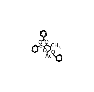 CC(=O)C1O[C@@H](Sc2ccccc2)C(OC(=O)c2ccccc2)[C@@H](C)[C@H]1OCc1ccccc1